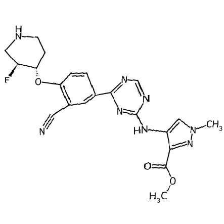 COC(=O)c1nn(C)cc1Nc1ncnc(-c2ccc(O[C@H]3CCNC[C@@H]3F)c(C#N)c2)n1